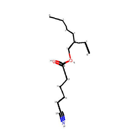 CCCCC(CC)COC(=O)CCCCC#N